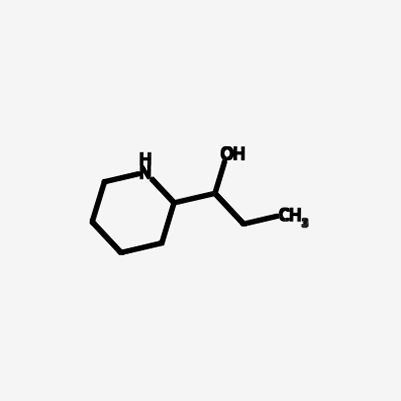 CCC(O)C1CCCCN1